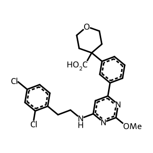 COc1nc(NCCc2ccc(Cl)cc2Cl)cc(-c2cccc(C3(C(=O)O)CCOCC3)c2)n1